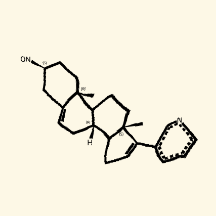 C[C@]12CC[C@H](N=O)CC1=CC[C@@H]1C2CC[C@]2(C)C(c3cccnc3)=CCC12